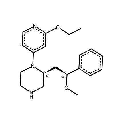 CCOc1cc(N2CCNC[C@@H]2C[C@H](OC)c2ccccc2)[c]cn1